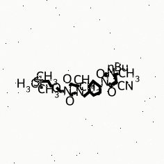 CCCCn1c(C)c(C#N)c(=O)n(C2CCC(CN3C(=O)N(COCC[Si](C)(C)C)C(=O)C3(C)C)CC2)c1=O